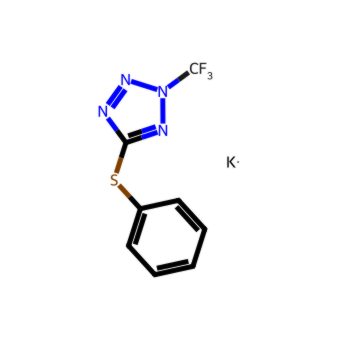 FC(F)(F)n1nnc(Sc2ccccc2)n1.[K]